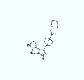 c1ccc(CNC23CCC(c4n[nH]c5cnc6[nH]ccc6c45)(CC2)CC3)cc1